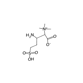 C[N+](C)(C)C(C(=O)[O-])C(N)CCS(=O)(=O)O